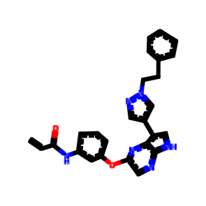 C=CC(=O)Nc1cccc(Oc2cnc3[nH]cc(-c4cnn(CCc5ccccc5)c4)c3n2)c1